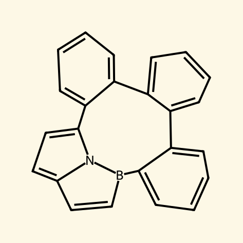 C1=Cc2ccc3n2B1c1ccccc1-c1ccccc1-c1ccccc1-3